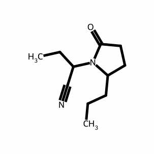 CCCC1CCC(=O)N1C(C#N)CC